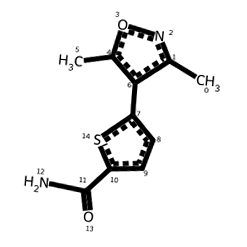 Cc1noc(C)c1-c1ccc(C(N)=O)s1